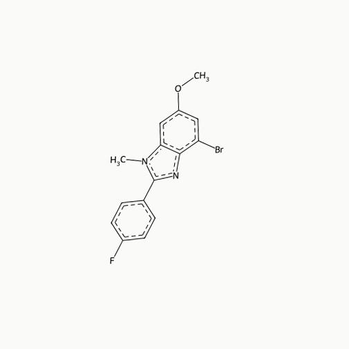 COc1cc(Br)c2nc(-c3ccc(F)cc3)n(C)c2c1